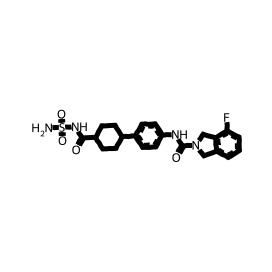 NS(=O)(=O)NC(=O)C1CCC(c2ccc(NC(=O)N3Cc4cccc(F)c4C3)cc2)CC1